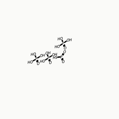 O=P(=O)S.O=P(O)(O)O.O=P(O)(O)O.O=P(O)(O)O